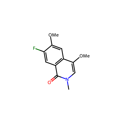 COc1cc2c(OC)cn(C)c(=O)c2cc1F